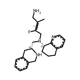 C/C(CN)=C(/F)CN(C[C@H]1Cc2ccccc2CN1)[C@H]1CCCc2cccnc21